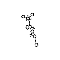 CC1(C)c2cc(C#Cc3ccccc3)ccc2-c2cc3c(cc21)-c1c(cc(C#Cc2nc(-c4ccccc4)nc(-c4ccccc4)n2)c2ccccc12)C3(C)C